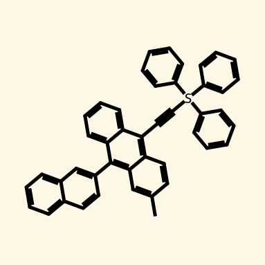 Cc1ccc2c(C#CS(c3ccccc3)(c3ccccc3)c3ccccc3)c3ccccc3c(-c3ccc4ccccc4c3)c2c1